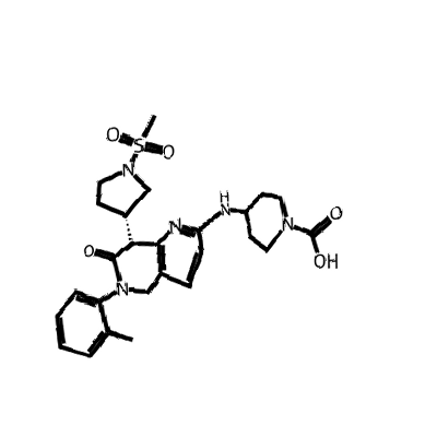 Cc1ccccc1N1Cc2ccc(NC3CCN(C(=O)O)CC3)nc2C([C@@H]2CCN(S(C)(=O)=O)C2)C1=O